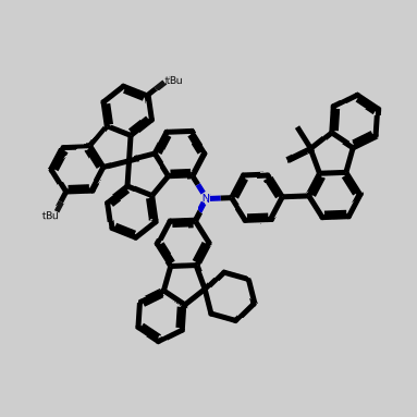 CC(C)(C)c1ccc2c(c1)C1(c3cc(C(C)(C)C)ccc3-2)c2ccccc2-c2c(N(c3ccc(-c4cccc5c4C(C)(C)c4ccccc4-5)cc3)c3ccc4c(c3)C3(CCCCC3)c3ccccc3-4)cccc21